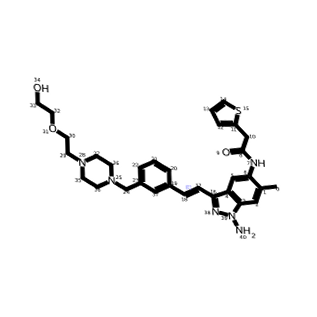 Cc1cc2c(cc1NC(=O)Cc1cccs1)c(/C=C/c1cccc(CN3CCN(CCOCCO)CC3)c1)nn2N